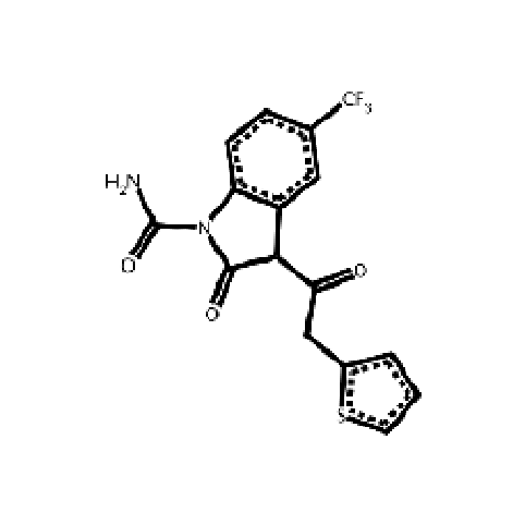 NC(=O)N1C(=O)C(C(=O)Cc2cccs2)c2cc(C(F)(F)F)ccc21